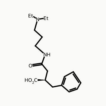 CCN(CC)CCCNC(=O)C[C@@H](Cc1ccccc1)C(=O)O